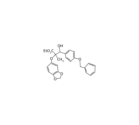 CCOC(=O)C(C)(Oc1ccc2c(c1)OCO2)C(O)c1ccc(OCc2ccccc2)cc1